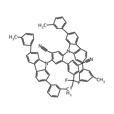 Cc1cccc(-c2ccc3c4ccc(-c5cccc(C)c5)cc4n(-c4cc(-c5cc(C#N)cc(C(F)(F)F)c5)c(-n5c6cc(-c7cccc(C)c7)ccc6c6ccc(-c7cccc(C)c7)cc65)cc4C#N)c3c2)c1